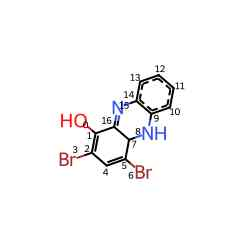 OC1=C(Br)C=C(Br)C2Nc3ccccc3N=C12